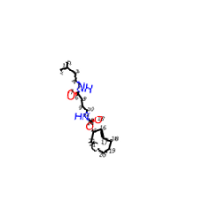 CC(C)CCNC(=O)CCCNC(=O)OC1/C=C/CCCCC1